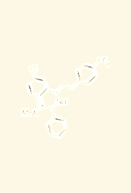 CNC(=O)C(NC(CCc1ccc(C(F)(F)F)cc1)c1cccc(Cl)c1)c1ccccc1